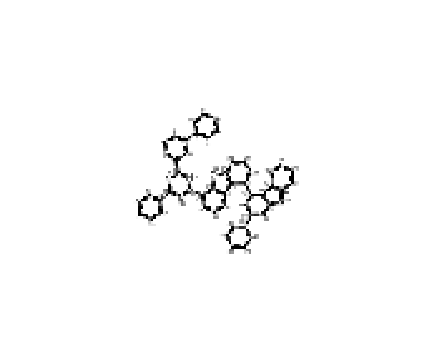 c1ccc(-c2cccc(-c3nc(-c4ccccc4)nc(-c4cccc5c4oc4cccc(-c6cc(-c7ccccc7)cc7sc8ccccc8c67)c45)n3)c2)cc1